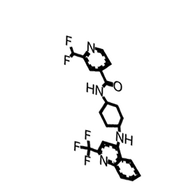 O=C(NC1CCC(Nc2cc(C(F)(F)F)nc3ccccc23)CC1)c1ccnc(C(F)F)c1